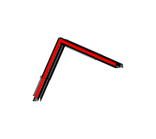 [Cu].[Cu].[Cu].[Cu].[Cu].[Cu].[Cu].[Cu].[Cu].[Cu].[Cu].[Cu].[Cu].[Cu].[Cu].[Cu].[Cu].[Cu].[Cu].[Cu].[Cu].[Cu].[Cu].[Cu].[Cu].[Cu].[Cu].[Cu].[Cu].[Cu].[Cu].[Cu].[Cu].[Cu].[Cu].[Cu].[Cu].[Cu].[Cu].[Cu].[Cu].[Cu].[Cu].[Cu].[Cu].[Cu].[Cu].[Cu].[Cu].[Cu].[Cu].[Cu].[Cu].[Cu].[Cu].[Cu].[Cu].[Cu].[Cu].[Cu].[Cu].[Cu].[Cu].[Cu].[Zn].[Zn].[Zn].[Zn].[Zn].[Zn].[Zn].[Zn].[Zn].[Zn].[Zn].[Zn].[Zn].[Zn].[Zn].[Zn].[Zn].[Zn].[Zn].[Zn].[Zn].[Zn].[Zn].[Zn].[Zn].[Zn].[Zn].[Zn].[Zn].[Zn].[Zn].[Zn].[Zn].[Zn].[Zn].[Zn]